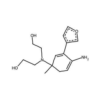 CC1(N(CCO)CCO)C=C(c2ccoc2)C(N)=CC1